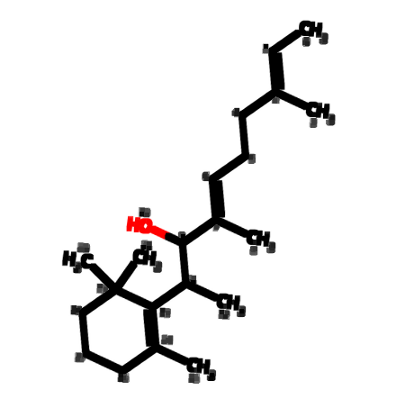 C/C=C(\C)CC/C=C(\C)C(O)C(C)C1=C(C)CCCC1(C)C